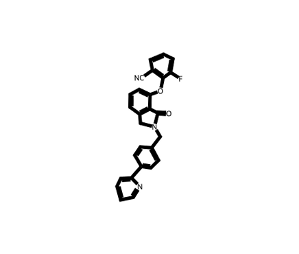 N#Cc1cccc(F)c1Oc1cccc2c1C(=O)N(Cc1ccc(-c3ccccn3)cc1)C2